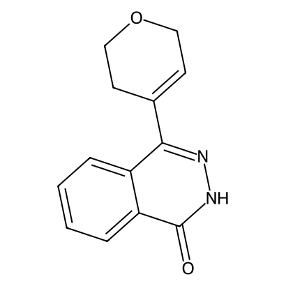 O=c1[nH]nc(C2=CCOCC2)c2ccccc12